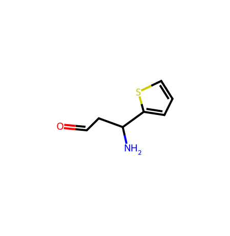 NC(CC=O)c1cccs1